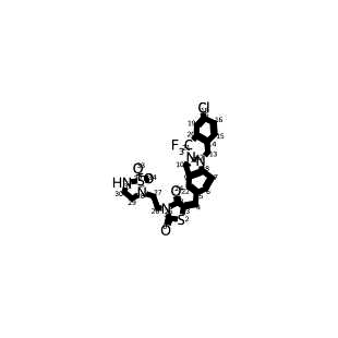 O=C1SC(=Cc2ccc3c(cnn3Cc3ccc(Cl)cc3C(F)(F)F)c2)C(=O)N1CCN1CCNS1(=O)=O